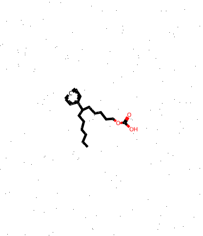 CCCCCCC(CCCCCOC(=O)O)c1ccccc1